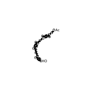 CC(=O)OCCOCCOC(=O)c1ccc(C(=O)OCCOCCOC(=O)c2ccc(C(=O)OCCOCCOC(=O)c3ccc(C=O)cc3)cc2)cc1